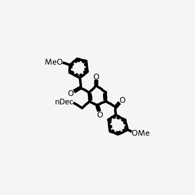 CCCCCCCCCCCC1=C(C(=O)c2cccc(OC)c2)C(=O)C=C(C(=O)c2cccc(OC)c2)C1=O